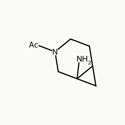 CC(=O)N1CCC2CC2(N)C1